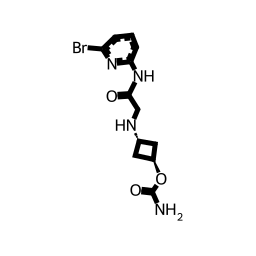 NC(=O)O[C@H]1C[C@H](NCC(=O)Nc2cccc(Br)n2)C1